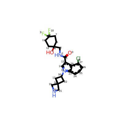 O=C(NCC1(O)CCC(F)(F)CC1)c1cn(C2CC3(CNC3)C2)c2cccc(Cl)c12